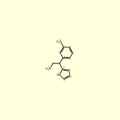 O=[N+]([O-])CC(c1cccc([N+](=O)[O-])c1)c1ccc[nH]1